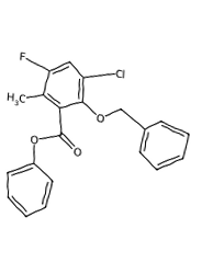 Cc1c(F)cc(Cl)c(OCc2ccccc2)c1C(=O)Oc1ccccc1